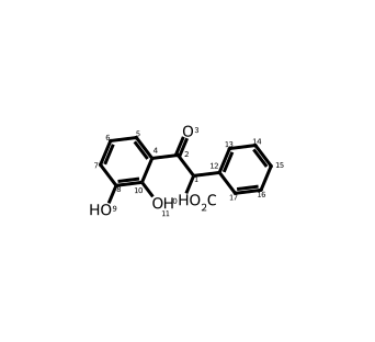 O=C(O)C(C(=O)c1cccc(O)c1O)c1ccccc1